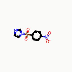 O=[N+]([O-])c1ccc(S(=O)(=O)n2ccnc2)cc1